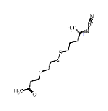 CC(=O)CCOCCSSCCC/C(C)=N/[N+]#N